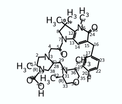 C[C@@H]1CN(CC(=O)N2CC(C)(C)c3c2cc(Cc2ccc(F)cc2)c(=O)n3C)[C@@H](CN2[C@H](C)COC[C@H]2C)CN1C(=O)O